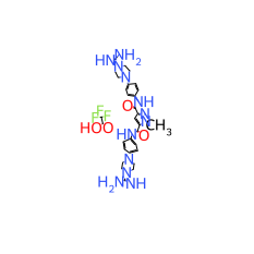 Cn1nc(C(=O)Nc2ccc(N3CCN(C(=N)N)CC3)cc2)cc1C(=O)Nc1ccc(N2CCN(C(=N)N)CC2)cc1.O=C(O)C(F)(F)F